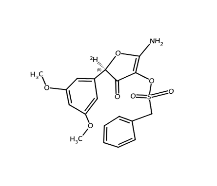 [2H][C@]1(c2cc(OC)cc(OC)c2)OC(N)=C(OS(=O)(=O)Cc2ccccc2)C1=O